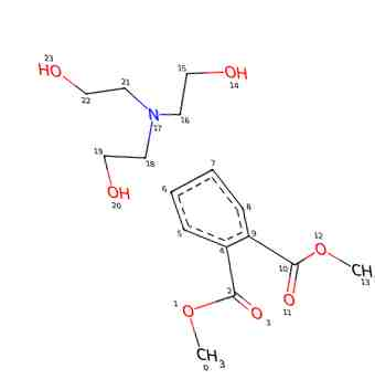 COC(=O)c1ccccc1C(=O)OC.OCCN(CCO)CCO